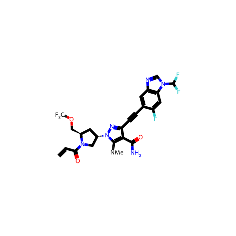 C=CC(=O)N1C[C@@H](n2nc(C#Cc3cc4ncn(C(F)F)c4cc3F)c(C(N)=O)c2NC)C[C@@H]1COC(F)(F)F